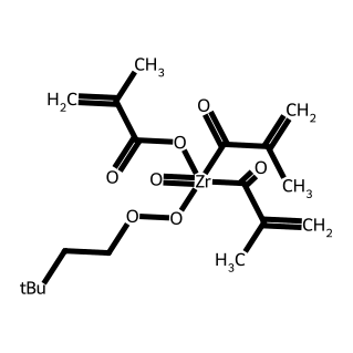 C=C(C)C(=O)[O][Zr](=[O])([O]OCCC(C)(C)C)([C](=O)C(=C)C)[C](=O)C(=C)C